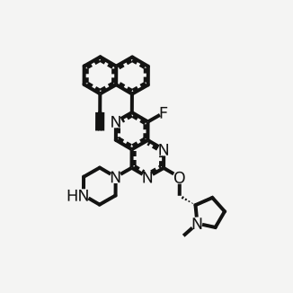 C#Cc1cccc2cccc(-c3ncc4c(N5CCNCC5)nc(OC[C@@H]5CCCN5C)nc4c3F)c12